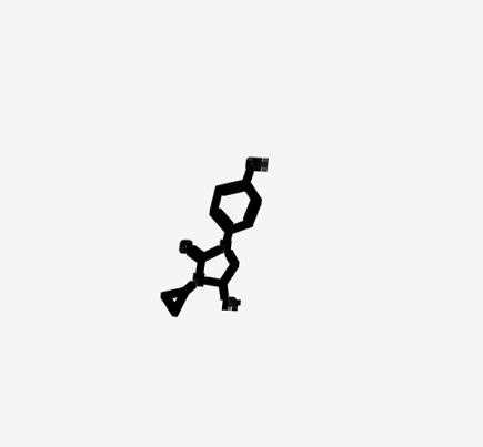 CC(C)C1CN(c2ccc(O)cc2)C(=O)N1C1CC1